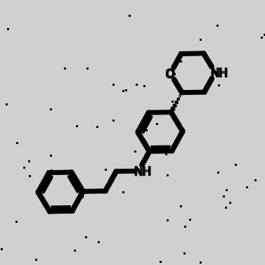 C1=CC([C@H]2CNCCO2)CC=C1NCCc1ccccc1